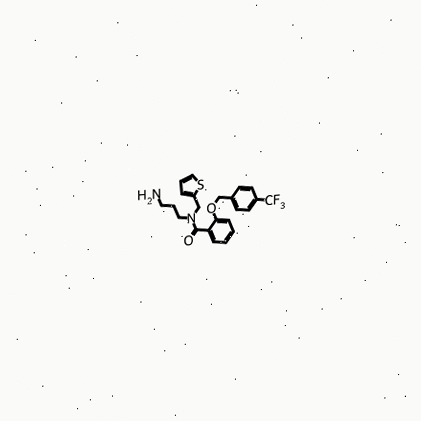 NCCCN(Cc1cccs1)C(=O)c1ccccc1OCc1ccc(C(F)(F)F)cc1